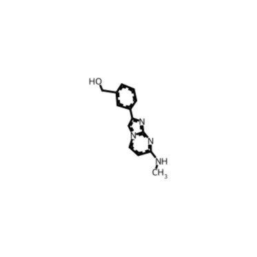 CNc1ccn2cc(-c3cccc(CO)c3)nc2n1